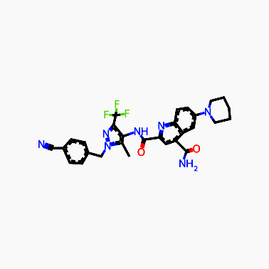 Cc1c(NC(=O)c2cc(C(N)=O)c3cc(N4CCCCC4)ccc3n2)c(C(F)(F)F)nn1Cc1ccc(C#N)cc1